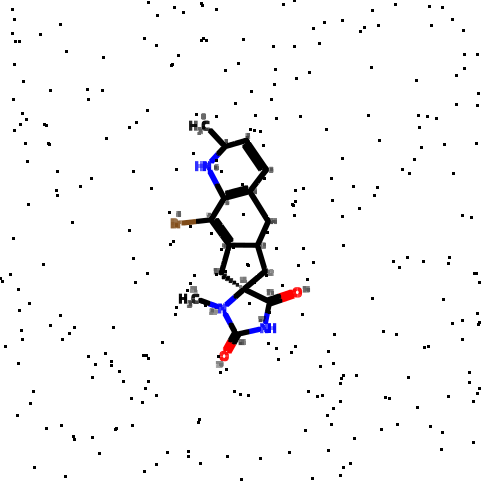 CC1C=CC2=C(N1)C(Br)=C1C[C@]3(CC1C2)C(=O)NC(=O)N3C